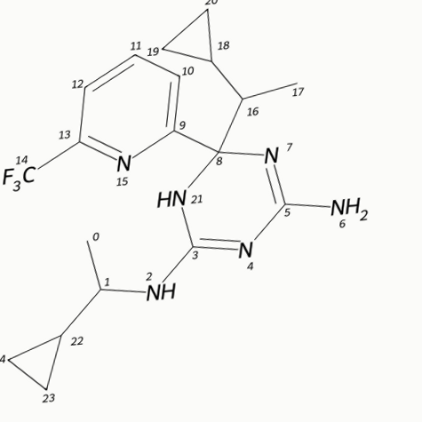 CC(NC1=NC(N)=NC(c2cccc(C(F)(F)F)n2)(C(C)C2CC2)N1)C1CC1